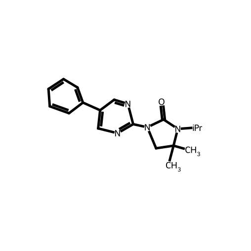 CC(C)N1C(=O)N(c2ncc(-c3ccccc3)cn2)CC1(C)C